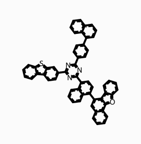 c1ccc2c(-c3ccc(-c4nc(-c5ccc6c(c5)sc5ccccc56)nc(-c5ccc(-c6cc7ccccc7c7oc8ccccc8c67)c6ccccc56)n4)cc3)cccc2c1